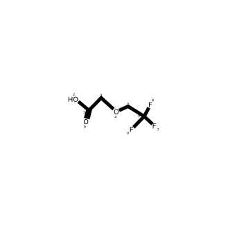 O=C(O)CO[CH]C(F)(F)F